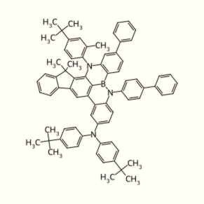 Cc1cc(C(C)(C)C)ccc1N1c2cc(-c3ccccc3)ccc2B2c3c(cc4c(c31)C(C)(C)c1ccccc1-4)-c1cc(N(c3ccc(C(C)(C)C)cc3)c3ccc(C(C)(C)C)cc3)ccc1N2c1ccc(-c2ccccc2)cc1